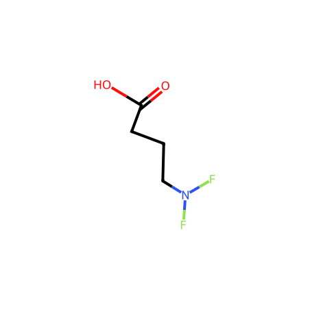 O=C(O)CCCN(F)F